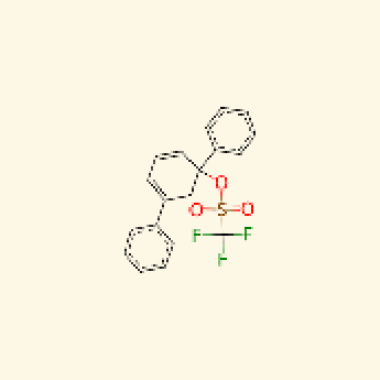 O=S(=O)(OC1(c2ccccc2)C=CC=C(c2ccccc2)C1)C(F)(F)F